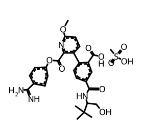 COc1ccc(-c2ccc(C(=O)NC(CO)C(C)(C)C)cc2C(=O)O)c(C(=O)Oc2ccc(C(=N)N)cc2)n1.CS(=O)(=O)O